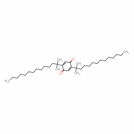 CCCCCCCCCCCCC(C)(C)C1=CC(=O)C(C(C)(C)CCCCCCCCCCCC)=CC1=O